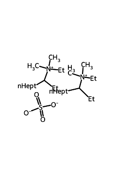 CCCCCCCC(CC)[N+](C)(C)CC.CCCCCCCC(CC)[N+](C)(C)CC.O=S(=O)([O-])[O-]